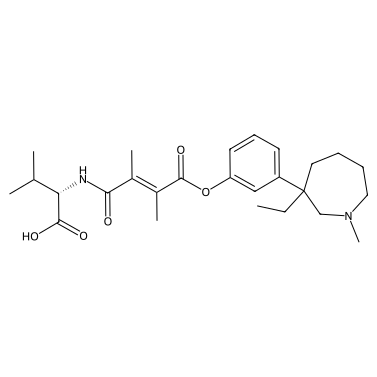 CCC1(c2cccc(OC(=O)/C(C)=C(\C)C(=O)N[C@H](C(=O)O)C(C)C)c2)CCCCN(C)C1